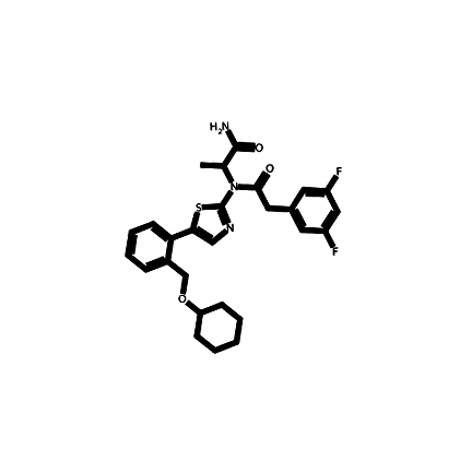 CC(C(N)=O)N(C(=O)Cc1cc(F)cc(F)c1)c1ncc(-c2ccccc2COC2CCCCC2)s1